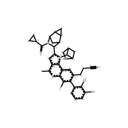 Cc1nc2c(F)c(-c3cccc(Cl)c3Cl)c(CCC#N)cc2c2c1cc(C1C3CC(C4CC43)N1C(=O)C1CC1)n2C1C2CNC1C2